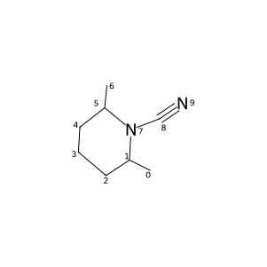 CC1CCCC(C)N1C#N